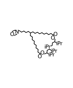 CC(C)CCC(COC(=O)CCCCCCCCCC(CCCCCCCCCC(=O)OCC(CCC(C)C)C(C)C)CCCCCN1CCOCC1)C(C)C